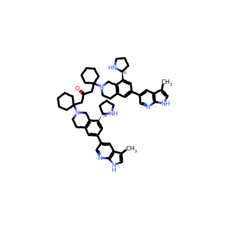 Cc1c[nH]c2ncc(-c3cc4c(c([C@@H]5CCCN5)c3)CN(C3(CC(=O)CC5(N6CCc7cc(-c8cnc9[nH]cc(C)c9c8)cc([C@@H]8CCCN8)c7C6)CCCCC5)CCCCC3)CC4)cc12